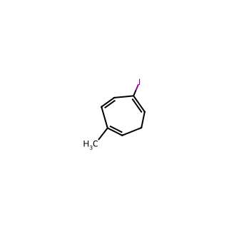 CC1=CCC=C(I)C=C1